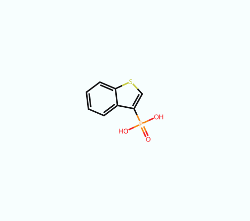 O=P(O)(O)c1csc2ccccc12